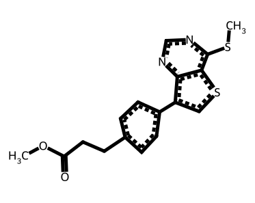 COC(=O)CCc1ccc(-c2csc3c(SC)ncnc23)cc1